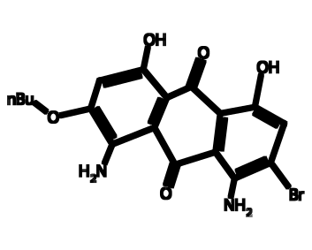 CCCCOc1cc(O)c2c(c1N)C(=O)c1c(N)c(Br)cc(O)c1C2=O